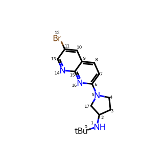 CC(C)(C)NC1CCN(c2ccc3cc(Br)cnc3n2)C1